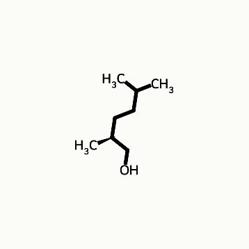 CC(C)CC[C@H](C)CO